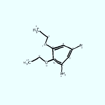 CCOc1cc(Br)cc(N)c1OCC